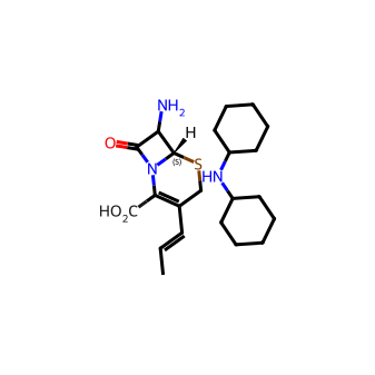 C1CCC(NC2CCCCC2)CC1.CC=CC1=C(C(=O)O)N2C(=O)C(N)[C@@H]2SC1